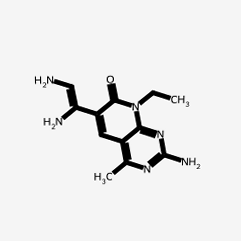 CCn1c(=O)c(/C(N)=C/N)cc2c(C)nc(N)nc21